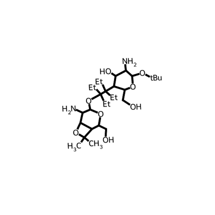 CCC(CC)(OC1OC(CO)C2C(OC2(C)C)C1N)C(CC)(CC)C1C(CO)OC(OC(C)(C)C)C(N)C1O